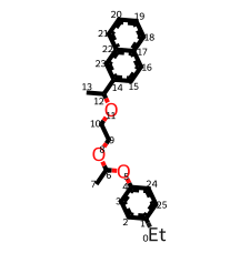 CCc1ccc(OC(C)OCCOC(C)c2ccc3ccccc3c2)cc1